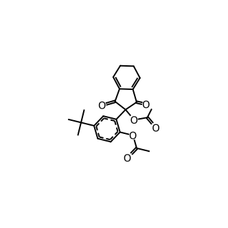 CC(=O)Oc1ccc(C(C)(C)C)cc1C1(OC(C)=O)C(=O)C2=CCCC=C2C1=O